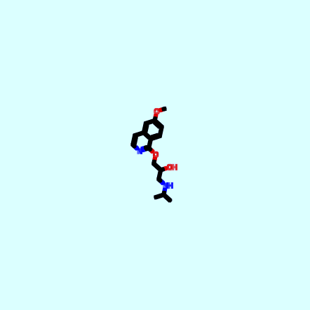 COc1ccc2c(OCC(O)CNC(C)C)nccc2c1